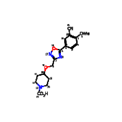 COc1ccc(-c2nc(COC3CCN(C(=O)O)CC3)no2)cc1C#N